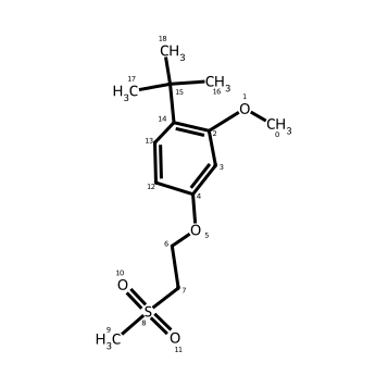 COc1cc(OCCS(C)(=O)=O)ccc1C(C)(C)C